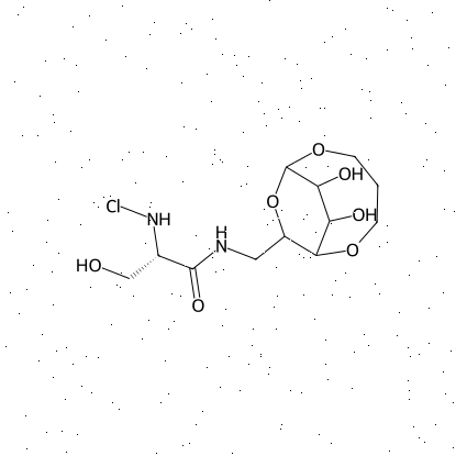 O=C(NCC1OC2OCCCOC1C(O)C2O)[C@H](CO)NCl